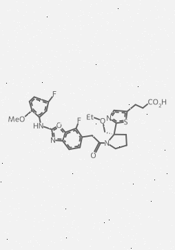 CCOC[C@]1(c2ncc(CCC(=O)O)s2)CCCN1C(=O)Cc1ccc2nc(Nc3cc(F)ccc3OC)oc2c1F